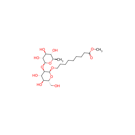 COC(=O)CCCCCCCCO[C@H]1O[C@H](CO)[C@@H](O)[C@H](O)[C@H]1O[C@@H]1O[C@H](C)[C@@H](O)[C@H](O)[C@H]1O